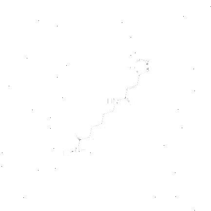 O=C(C=Cc1ccco1)NCCCCCC(=O)NO